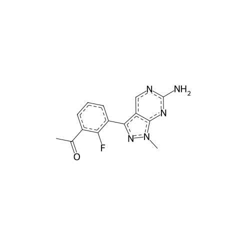 CC(=O)c1cccc(-c2nn(C)c3nc(N)ncc23)c1F